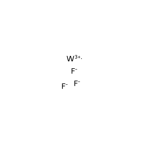 [F-].[F-].[F-].[W+3]